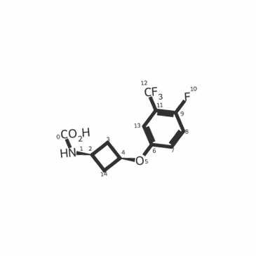 O=C(O)N[C@H]1C[C@@H](Oc2ccc(F)c(C(F)(F)F)c2)C1